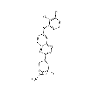 N[C@H]1C[C@@H]2CN(c3cnc4nc(Sc5cccc(Cl)c5Cl)ccc4n3)CC1O2